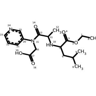 CCOC(=O)C(CC(C)C)NC(C)C(=O)N(CC(=O)O)c1cccnc1